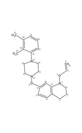 C=CON1CCCc2ccc(ON3CCN(c4cccc(C)c4C)CC3)cc21